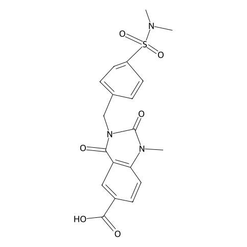 CN(C)S(=O)(=O)c1ccc(Cn2c(=O)c3cc(C(=O)O)ccc3n(C)c2=O)cc1